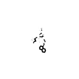 Cc1cc(C(=O)N[C@@H](CC(=O)NOC(C)(C)C)C(=O)N[C@@H](C)C(=O)NCc2cccc3ccccc23)no1